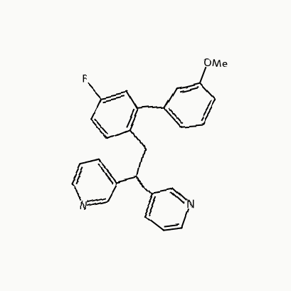 COc1cccc(-c2cc(F)ccc2CC(c2cccnc2)c2cccnc2)c1